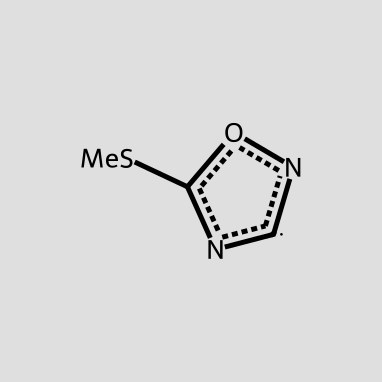 CSc1n[c]no1